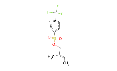 C/C=C(\C)COS(=O)(=O)c1ccc(C(F)(F)F)cc1